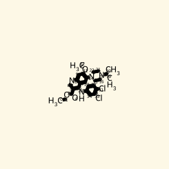 CCOC(=O)c1cnc2cc(OC)c(N3CCN(C(C)C)CC3)cc2c1Nc1ccc(Cl)c(Cl)c1